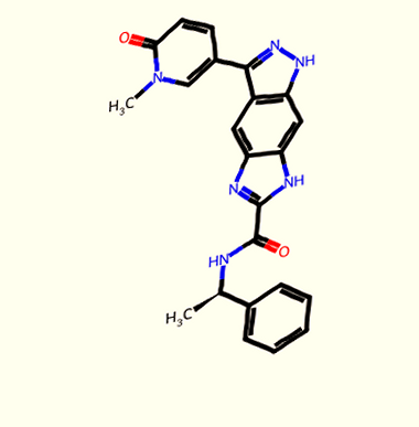 C[C@@H](NC(=O)c1nc2cc3c(-c4ccc(=O)n(C)c4)n[nH]c3cc2[nH]1)c1ccccc1